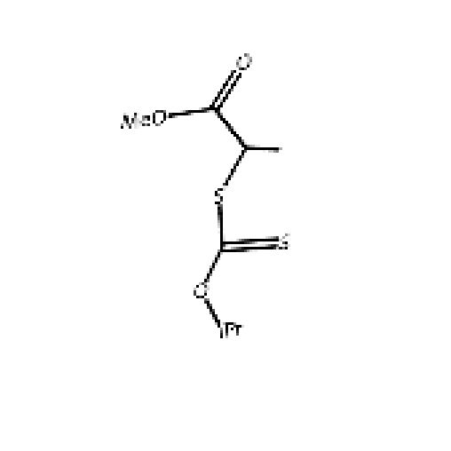 COC(=O)C(C)SC(=S)OC(C)C